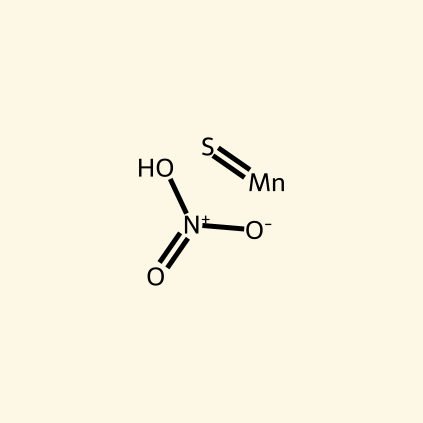 O=[N+]([O-])O.[S]=[Mn]